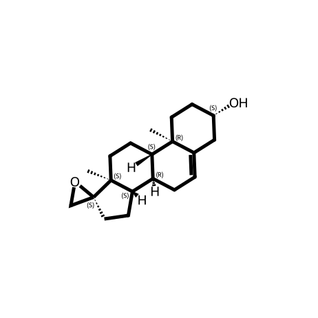 C[C@]12CC[C@H](O)CC1=CC[C@@H]1[C@@H]2CC[C@@]2(C)[C@H]1CC[C@@]21CO1